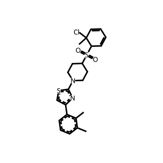 Cc1cccc(-c2csc(N3CCC(S(=O)(=O)C4C=CC=CC4(C)Cl)CC3)n2)c1C